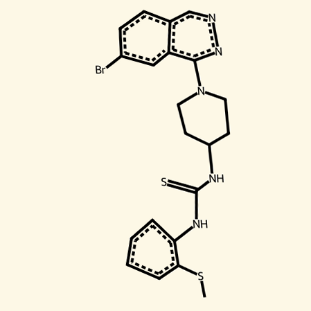 CSc1ccccc1NC(=S)NC1CCN(c2nncc3ccc(Br)cc23)CC1